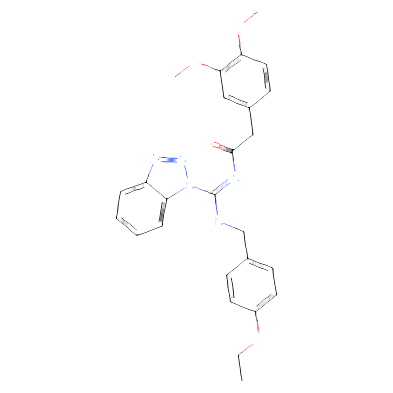 CCOc1ccc(CN/C(=N/C(=O)Cc2ccc(OC)c(OC)c2)n2nnc3ccccc32)cc1